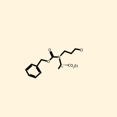 CCOC(=O)[C@H](C)N(CCCCl)C(=O)OCc1ccccc1